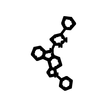 c1ccc(-c2ccc(-n3c4ccccc4c4c5ccn(-c6ccccc6)c5ccc43)nn2)cc1